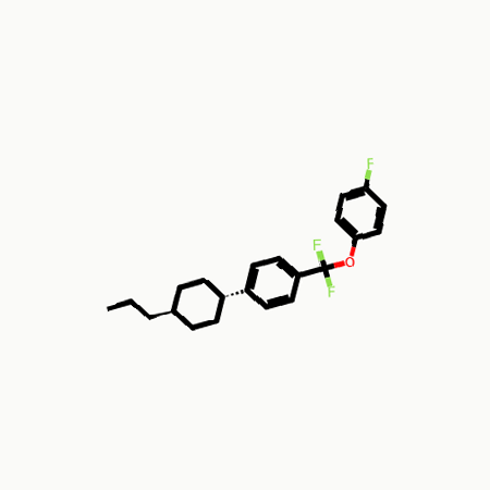 CCC[C@H]1CC[C@H](c2ccc(C(F)(F)Oc3ccc(F)cc3)cc2)CC1